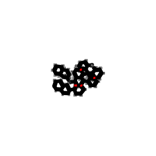 c1ccc(-c2ccc3ccccc3c2N(c2ccc3ccccc3c2)c2ccc3c4c(cccc24)C2(c4ccccc4Oc4ccccc42)c2ccccc2-3)cc1